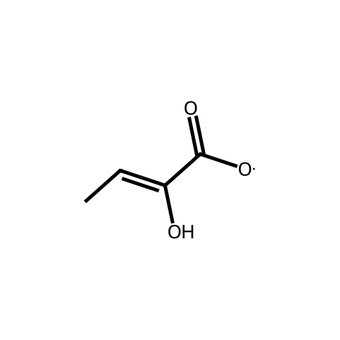 CC=C(O)C([O])=O